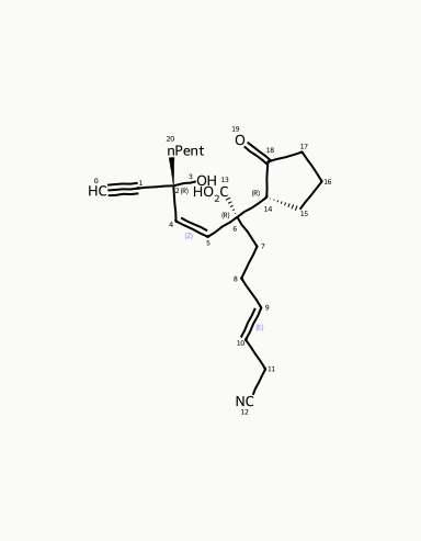 C#C[C@](O)(/C=C\[C@@](CC/C=C/CC#N)(C(=O)O)[C@H]1CCCC1=O)CCCCC